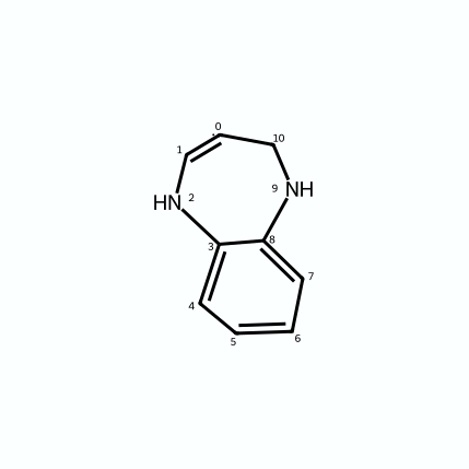 [C]1=CNc2ccccc2NC1